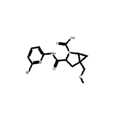 COCC12CC(C(=O)Nc3cccc(Br)n3)N(C(=O)O)C1C2